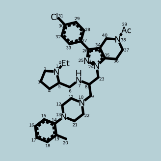 CCN1CCCC1CNC(CN1CCN(c2ccccc2C)CC1)Cn1nc(-c2ccc(Cl)cc2)c2c1CCN(C(C)=O)C2